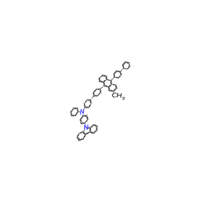 Cc1ccc2c(-c3ccc(-c4ccccc4)cc3)c3ccccc3c(-c3ccc(-c4ccc(N(c5ccccc5)c5ccc(-n6c7ccccc7c7ccccc76)cc5)cc4)cc3)c2c1